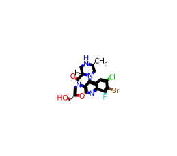 C[C@@H]1CN2c3c4c(nc5c(F)c(Br)c(Cl)cc35)O[C@H](CO)CN4C(=O)[C@H]2CN1